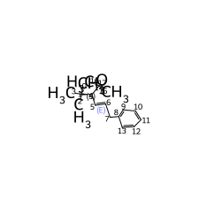 CC(C)(C)[C@H](/C=C/Cc1ccccc1)C(C)(C)[O]